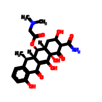 C[C@H]1c2cccc(O)c2C(=O)C2=C(O)[C@]3(O)C(=O)C(C(N)=O)C(O)C[C@@H]3[C@@H](OC(=O)CN(C)C)[C@@H]21